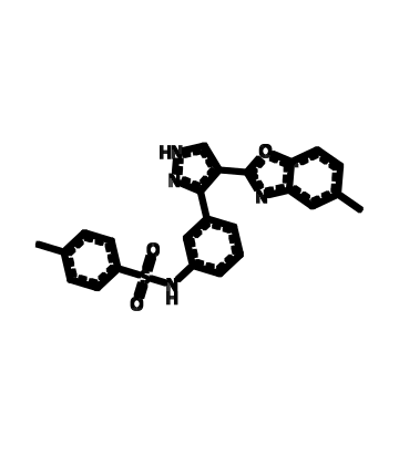 Cc1ccc(S(=O)(=O)Nc2cccc(-c3n[nH]cc3-c3nc4cc(C)ccc4o3)c2)cc1